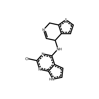 Clc1nc(NC2C=NCc3sccc32)c2cc[nH]c2n1